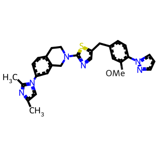 COc1cc(Cc2cnc(N3CCc4ccc(-n5cc(C)nc5C)cc4C3)s2)ccc1-n1cccn1